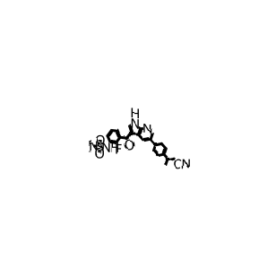 CC(CC#N)c1ccc(-c2cnc3[nH]cc(C(=O)c4cccc(NS(=O)(=O)N(C)C)c4F)c3c2)cc1